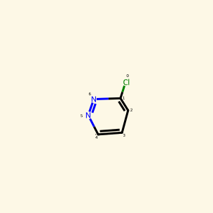 Clc1cc[c]nn1